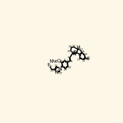 COc1cc(/C=C/C2=NO[C@@]34c5ccc(F)cc5C[C@@H]3CCCN24)ccc1-n1cnc(CF)c1